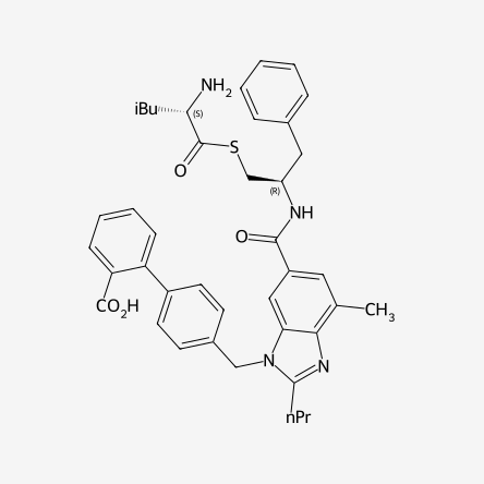 CCCc1nc2c(C)cc(C(=O)N[C@@H](CSC(=O)[C@@H](N)C(C)CC)Cc3ccccc3)cc2n1Cc1ccc(-c2ccccc2C(=O)O)cc1